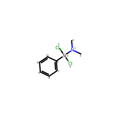 CN(C)[Si](Cl)(Cl)c1ccccc1